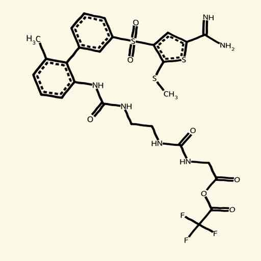 CSc1sc(C(=N)N)cc1S(=O)(=O)c1cccc(-c2c(C)cccc2NC(=O)NCCNC(=O)NCC(=O)OC(=O)C(F)(F)F)c1